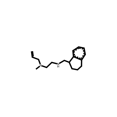 C=CCN(C)CCNCC1CCCc2ccccc21